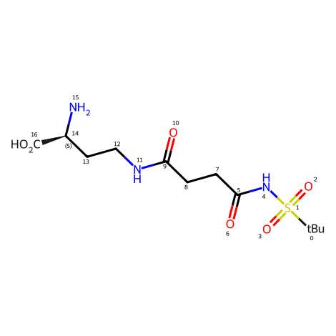 CC(C)(C)S(=O)(=O)NC(=O)CCC(=O)NCC[C@H](N)C(=O)O